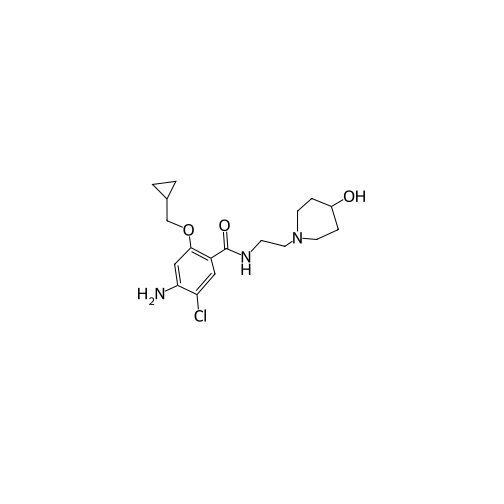 Nc1cc(OCC2CC2)c(C(=O)NCCN2CCC(O)CC2)cc1Cl